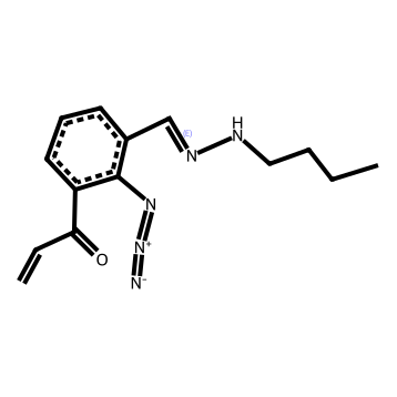 C=CC(=O)c1cccc(/C=N/NCCCC)c1N=[N+]=[N-]